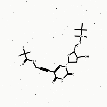 CC(C)(C)[Si](C)(C)OC[C@H]1O[C@@H](n2cc(C#CCNC(=O)C(F)(F)F)c(=O)[nH]c2=O)CC1O